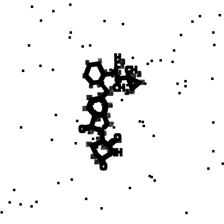 CC(N(C)C1CCCC[C@@H]1Cc1ccc2c(c1)CN(C1CCC(=O)NC1=O)C2=O)C1(C)CC1